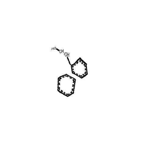 CO.Oc1ccccc1.c1ccccc1